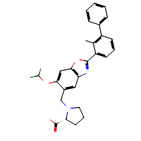 Cc1c(-c2ccccc2)cccc1-c1nc2cc(CN3CCC[C@H]3C(=O)O)c(OC(F)F)cc2o1